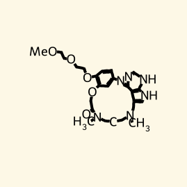 COCCOCCOc1ccc2cc1OCC(=O)N(C)CCCN(C)Cc1c[nH]c3c1/C(=N\2)N=CN3